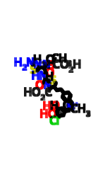 CC(C)(O/N=C(\C(=O)N[C@@H]1C(=O)N2C(C(=O)O)=C(/C=C/c3ccc(C[N+](C)(C)Cc4cc(O)c(O)c(Cl)c4)cc3)CS[C@H]12)c1csc(N)n1)C(=O)O